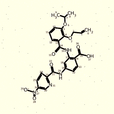 C=CCOc1c(OC(C)C)cccc1C(=O)Nc1cc(NC(=O)c2ccc([N+](=O)[O-])cn2)ccc1C(=O)O